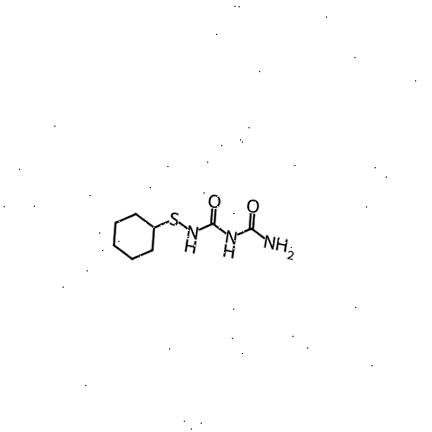 NC(=O)NC(=O)NSC1CCCCC1